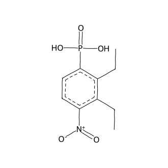 CCc1c([N+](=O)[O-])ccc(P(=O)(O)O)c1CC